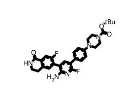 CC(C)(C)OC(=O)N1CCN(c2ccc(-c3cc(-c4cc5c(cc4F)C(=O)NCC5)c(N)nc3F)cc2)CC1